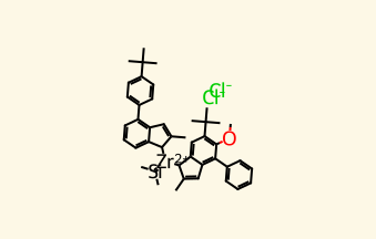 COc1c(C(C)(C)C)cc2c(c1-c1ccccc1)C=C(C)[CH]2[Zr+2]([CH]1C(C)=Cc2c(-c3ccc(C(C)(C)C)cc3)cccc21)=[Si](C)C.[Cl-].[Cl-]